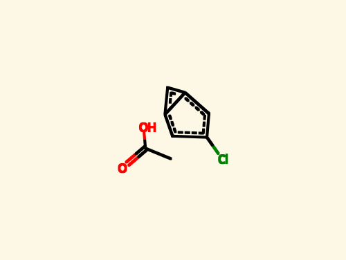 CC(=O)O.Clc1cc2cc-2c1